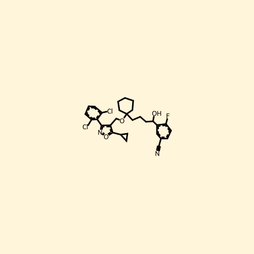 N#Cc1ccc(F)c(C(O)CCCC2(OCc3c(-c4c(Cl)cccc4Cl)noc3C3CC3)CCCCC2)c1